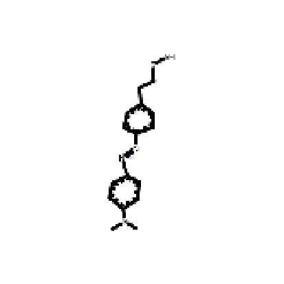 CN(C)c1ccc(/N=N/c2ccc(CCSS)cc2)cc1